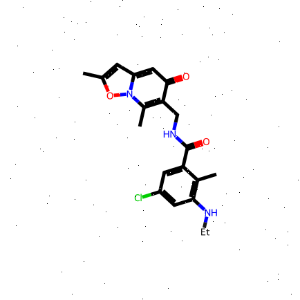 CCNc1cc(Cl)cc(C(=O)NCc2c(C)n3oc(C)cc3cc2=O)c1C